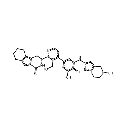 CN1CCn2nc(Nc3cc(-c4ccnc(N5Cc6c(cn7c6CCCC7)C(=O)N5)c4CO)cn(C)c3=O)cc2C1